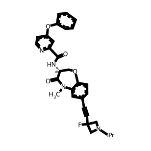 CC(C)N1CC(F)(C#Cc2ccc3c(c2)N(C)C(=O)[C@H](NC(=O)c2cc(Oc4ccccc4)ccn2)CO3)C1